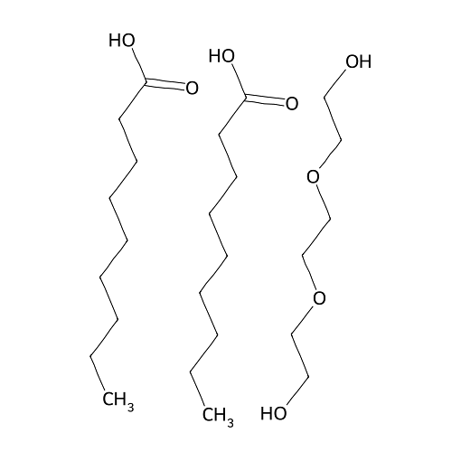 CCCCCCCCC(=O)O.CCCCCCCCC(=O)O.OCCOCCOCCO